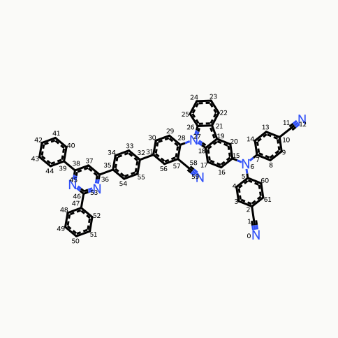 N#Cc1ccc(N(c2ccc(C#N)cc2)c2ccc3c(c2)c2ccccc2n3-c2ccc(-c3ccc(-c4cc(-c5ccccc5)nc(-c5ccccc5)n4)cc3)cc2C#N)cc1